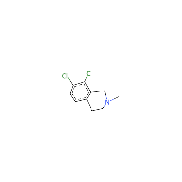 CN1CCc2ccc(Cl)c(Cl)c2C1